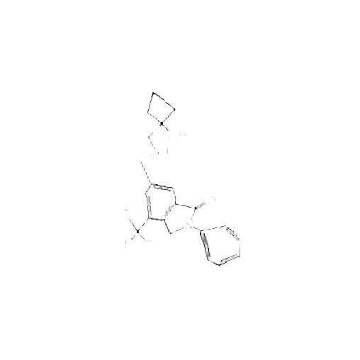 O=C1c2cc(CNCC3(O)CCC3)cc(C(F)(F)F)c2CN1c1ccccc1